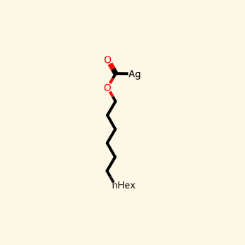 CCCCCCCCCCCCO[C](=O)[Ag]